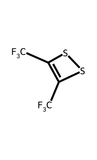 FC(F)(F)c1ssc1C(F)(F)F